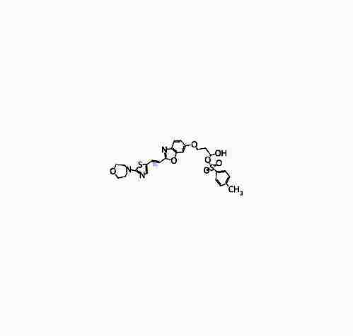 Cc1ccc(S(=O)(=O)OC(O)CCOc2ccc3nc(/C=C/c4cnc(N5CCOCC5)s4)oc3c2)cc1